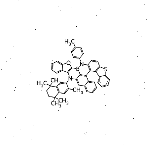 Cc1ccc(N2B3c4oc5ccccc5c4N(c4cc5c(cc4C)C(C)(C)CCC5(C)C)c4cc5ccccc5c(c43)-c3c2ccc2sc4ccccc4c32)cc1